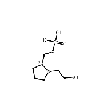 O=P(O)(O)OC[C@@H]1CCCN1CCO